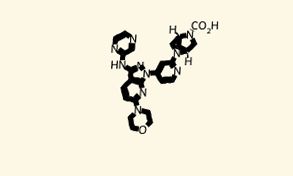 O=C(O)N1C[C@@H]2C[C@H]1CN2c1cc(-n2nc(Nc3cnccn3)c3ccc(N4CCOCC4)nc32)ccn1